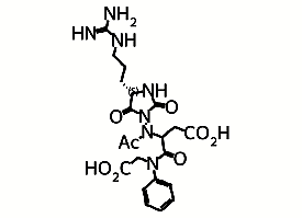 CC(=O)N(C(CC(=O)O)C(=O)N(CC(=O)O)c1ccccc1)N1C(=O)N[C@@H](CCCNC(=N)N)C1=O